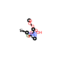 C[Si](C)(C)C#Cc1ccc(NC(=O)[C@H](Cc2ccccc2)NC(=O)C(NC(=O)O)c2ccc(OCCOC3CCCCO3)cc2)c(Cl)c1